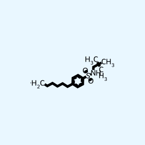 [CH2]CCCCCc1ccc(S(=O)(=O)NCC(C)(C)C)cc1